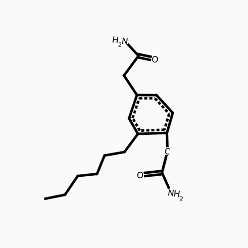 CCCCCCc1cc(CC(N)=O)ccc1CC(N)=O